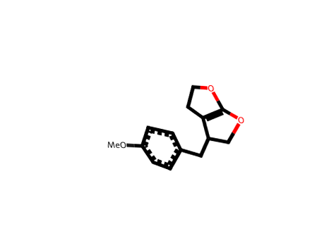 COc1ccc(CC2COC3=C2CCO3)cc1